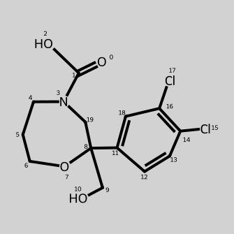 O=C(O)N1CCCOC(CO)(c2ccc(Cl)c(Cl)c2)C1